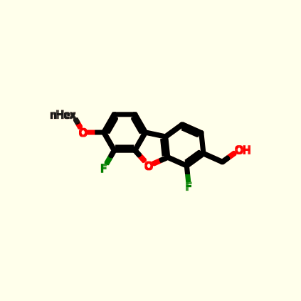 CCCCCCOc1ccc2c(oc3c(F)c(CO)ccc32)c1F